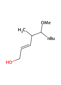 CCCCC(OC)C(C)C=CCO